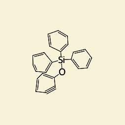 c1cccc(O[Si](c2ccccc2)(c2ccccc2)c2ccccc2)c#1